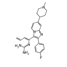 C=C/C=C(\N=C(N)N)c1c(-c2ccc(F)cc2)nc2cc(C3CCN(C)CC3)ccn12